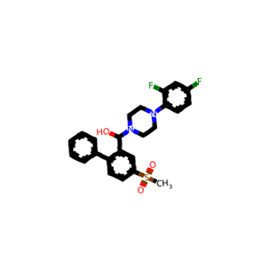 CS(=O)(=O)c1ccc(-c2ccccc2)c(C(O)N2CCN(c3ccc(F)cc3F)CC2)c1